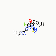 Cn1cnc(C2CN(c3nc4c(cc3F)c(=O)c(C(=O)O)cn4-c3ncns3)C2)c1